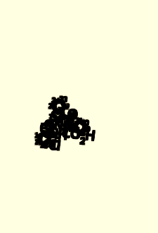 O=C(O)CN(C(=O)c1c(NC(=O)Nc2c(Cl)cccc2Cl)sc2c1CCCC2)C1CCCCC1